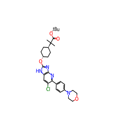 CC(C)(C)OC(=O)C(C)(C)[C@H]1CC[C@H](Oc2nc3nc(-c4ccc(N5CCOCC5)cc4)c(Cl)cc3[nH]2)CC1